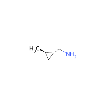 C[C@@H]1C[C@H]1CN